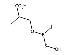 CC(COB(I)SO)C(=O)O